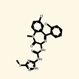 CSc1n[nH]c(NC(=S)NC2N=C(c3ccccc3Cl)c3cc(Cl)ccc3N(C)C2=O)n1